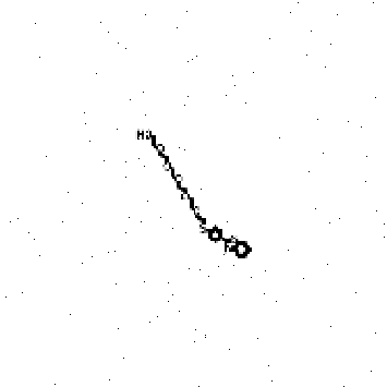 OCCOCCOCCOCCOCCOCCSc1ccc(-c2nc3ccccc3s2)cc1